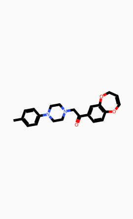 Cc1ccc(N2CCN(CC(=O)c3ccc4c(c3)OCC=CO4)CC2)cc1